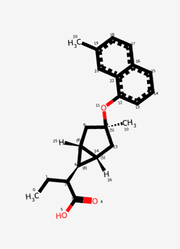 CCC(C(=O)O)[C@H]1[C@@H]2C[C@@](C)(Oc3cccc4ccc(C)cc34)C[C@@H]21